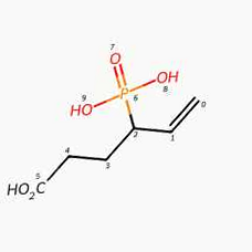 C=CC(CCC(=O)O)P(=O)(O)O